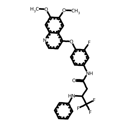 COc1cc2nccc(Oc3ccc(NC(=O)CC(Nc4ccccc4)C(F)(F)F)cc3F)c2cc1OC